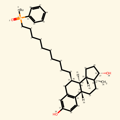 CCCCP(=O)(CCCCCCCCCC[C@@H]1Cc2cc(O)ccc2[C@H]2CC[C@]3(C)[C@@H](O)CC[C@H]3[C@H]12)c1ccccc1